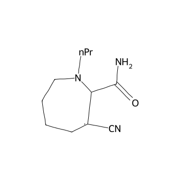 CCCN1CCCC[C](C#N)C1C(N)=O